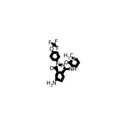 Cn1cccc(Nc2nn(-c3ccc(OC(F)(F)F)cc3)c(=O)c3cc(N)ccc23)c1=O